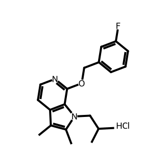 Cc1c(C)n(CC(C)C)c2c(OCc3cccc(F)c3)nccc12.Cl